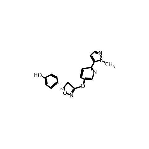 Cn1nccc1-c1ccc(OC2=NO[C@H](c3ccc(O)cc3)C2)cn1